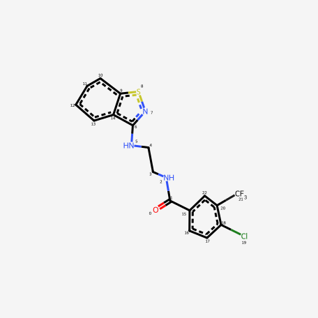 O=C(NCCNc1nsc2ccccc12)c1ccc(Cl)c(C(F)(F)F)c1